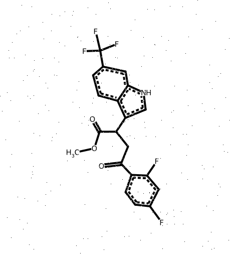 COC(=O)C(CC(=O)c1ccc(F)cc1F)c1c[nH]c2cc(C(F)(F)F)ccc12